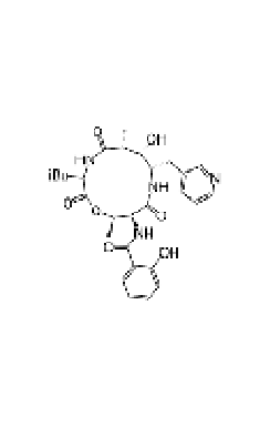 CCC(C)C1NC(=O)[C@H](C)[C@H](O)[C@H](Cc2cccnc2)NC(=O)[C@@H](NC(=O)c2ccccc2O)[C@@H](C)OC1=O